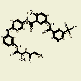 C=CC(=O)N[C@H](C)C(=O)Nc1cccc(Nc2ncc(NC(=O)c3cc(NC(=O)c4cccc(C(F)(F)F)c4)ccc3C)cn2)c1